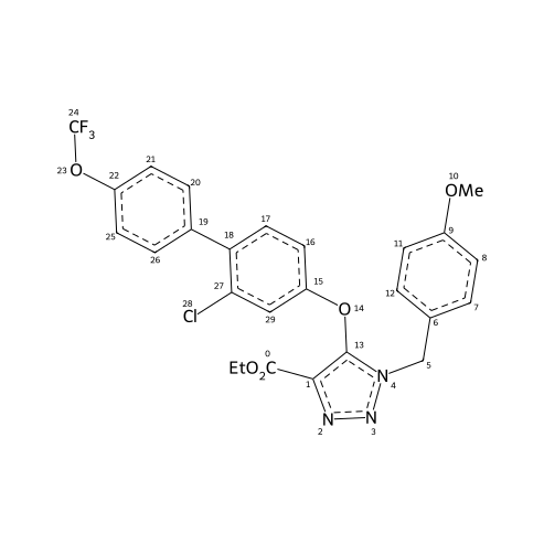 CCOC(=O)c1nnn(Cc2ccc(OC)cc2)c1Oc1ccc(-c2ccc(OC(F)(F)F)cc2)c(Cl)c1